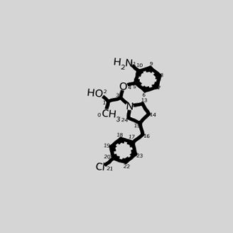 CC(O)C(Oc1ccccc1N)N1CCC(Cc2ccc(Cl)cc2)C1